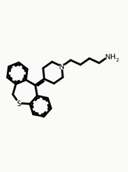 NCCCCN1CCC(=C2c3ccccc3CSc3ccccc32)CC1